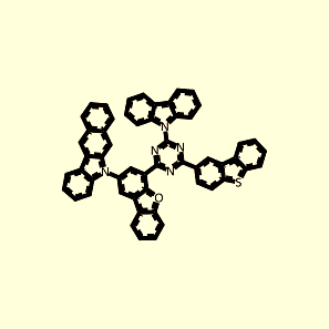 c1ccc2cc3c(cc2c1)c1ccccc1n3-c1cc(-c2nc(-c3ccc4sc5ccccc5c4c3)nc(-n3c4ccccc4c4ccccc43)n2)c2oc3ccccc3c2c1